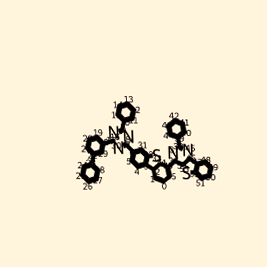 C1=CC2c3ccc(-c4nc(-c5ccccc5)nc(-c5cccc(-c6ccccc6)c5)n4)cc3SC2C(C2=NC(c3ccccc3)=NC3c4ccccc4SC23)=C1